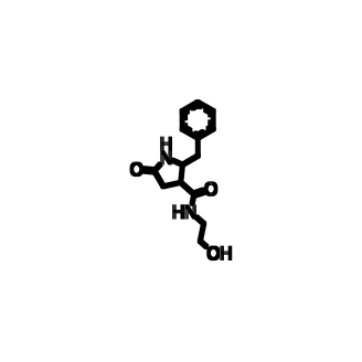 O=C1CC(C(=O)NCCO)C(Cc2ccccc2)N1